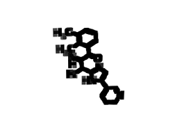 CCC(C(=N)C(=O)c1cccc(C)c1C)c1ncc(-c2cccnc2)[nH]1